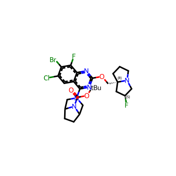 CC(C)(C)OC(=O)N1C2CCC1CN(c1nc(OC[C@]34CCCN3C[C@@H](F)C4)nc3c(F)c(Br)c(Cl)cc13)C2